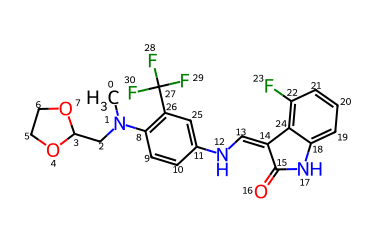 CN(CC1OCCO1)c1ccc(NC=C2C(=O)Nc3cccc(F)c32)cc1C(F)(F)F